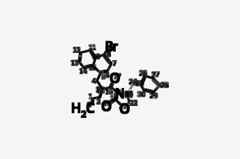 C=CC[C@@H](Cc1ccc(Br)c2ccccc12)C(=O)N1C(=O)OC[C@H]1Cc1ccccc1